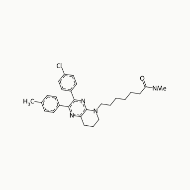 CNC(=O)CCCCCCN1CCCc2nc(-c3ccc(C)cc3)c(-c3ccc(Cl)cc3)nc21